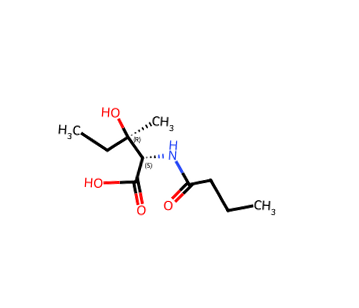 CCCC(=O)N[C@H](C(=O)O)[C@](C)(O)CC